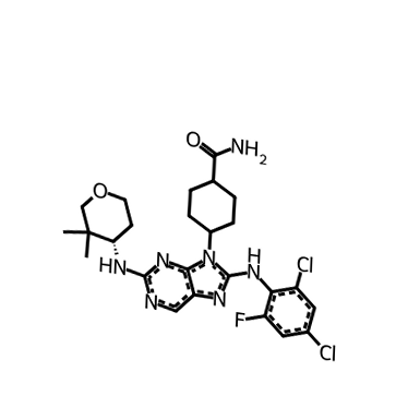 CC1(C)COCC[C@@H]1Nc1ncc2nc(Nc3c(F)cc(Cl)cc3Cl)n(C3CCC(C(N)=O)CC3)c2n1